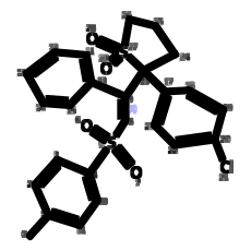 Cc1ccc(S(=O)(=O)/C=C(\c2ccccc2)C2(c3ccc(Cl)cc3)CCCS2(=O)=O)cc1